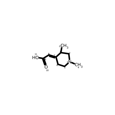 CC1CN(C)CCC1=CC(=O)O